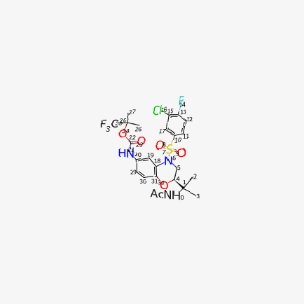 CC(=O)NC(C)(C)[C@@H]1CN(S(=O)(=O)c2ccc(F)c(Cl)c2)c2cc(NC(=O)OC(C)(C)C(F)(F)F)ccc2O1